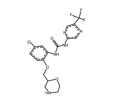 O=C(Nc1cnc(C(F)(F)F)cn1)Nc1cc(Cl)ccc1OCC1CNCCO1